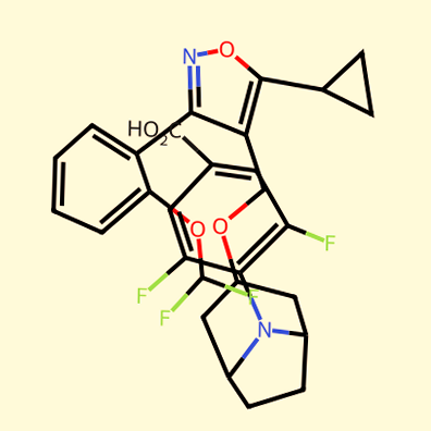 O=C(O)c1cc(F)c(N2C3CCC2CC(OCc2c(-c4ccccc4OC(F)F)noc2C2CC2)C3)c(F)c1